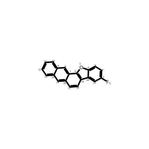 Fc1ccc2oc3c4cc5ccccc5cc4ccc3c2c1